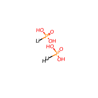 [H+].[Li][P](=O)(O)O.[Li][P](=O)(O)O